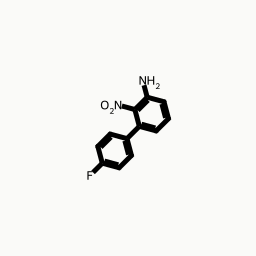 Nc1cccc(-c2ccc(F)cc2)c1[N+](=O)[O-]